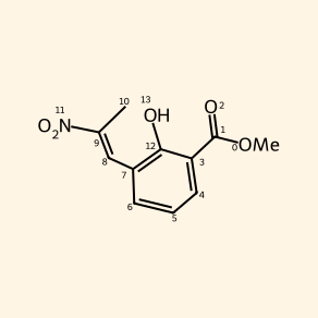 COC(=O)c1cccc(C=C(C)[N+](=O)[O-])c1O